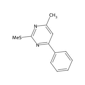 CSc1nc(C)cc(-c2ccccc2)n1